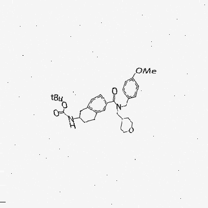 COc1ccc(CN(CC2CCOCC2)C(=O)c2ccc3c(c2)CCC(NC(=O)OC(C)(C)C)C3)cc1